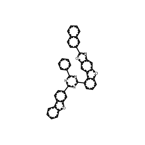 c1ccc(-c2nc(-c3ccc4c(c3)oc3ccccc34)nc(-c3cccc4oc5cc6nc(-c7ccc8ccccc8c7)oc6cc5c34)n2)cc1